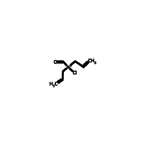 C=CC[N+](Cl)(C=O)CC=C